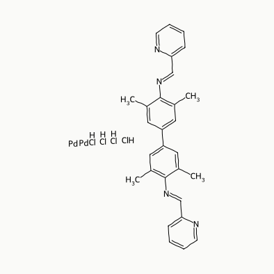 Cc1cc(-c2cc(C)c(N=Cc3ccccn3)c(C)c2)cc(C)c1N=Cc1ccccn1.Cl.Cl.Cl.Cl.[Pd].[Pd]